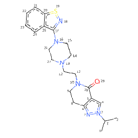 CC(C)n1cc2c(n1)CCN(CCN1CCN(c3nsc4ccccc34)CC1)C2=O